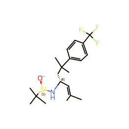 CC(C)=C[C@@H](CC(C)(C)c1ccc(C(F)(F)F)cc1)N[S@+]([O-])C(C)(C)C